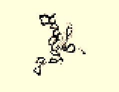 CC(C)(C)c1ccc(Nc2cc3c(cc2-c2ccc4c5cc6c(cc5n5c4c2Bc2sc4ccc(C(C)(C)C)cc4c2-5)oc2ccccc26)-c2cc(N(c4ccccc4)c4ccccc4)ccc2C3(C)C)cc1